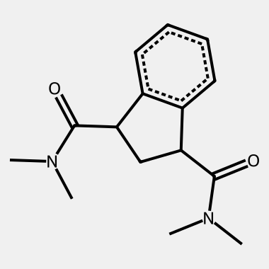 CN(C)C(=O)C1CC(C(=O)N(C)C)c2ccccc21